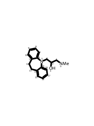 CNCC(O)CN1c2ccccc2CCc2ccccc21